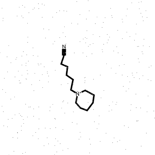 N#CCCCCC[N+]1CCCCCC1